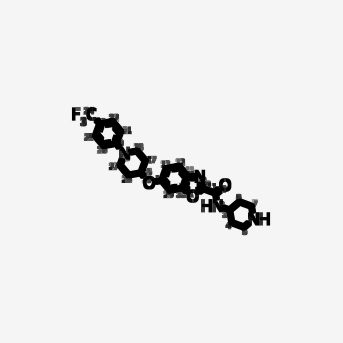 O=C(NC1CCNCC1)c1nc2ccc(OC3CCN(c4ccc(C(F)(F)F)cc4)CC3)cc2o1